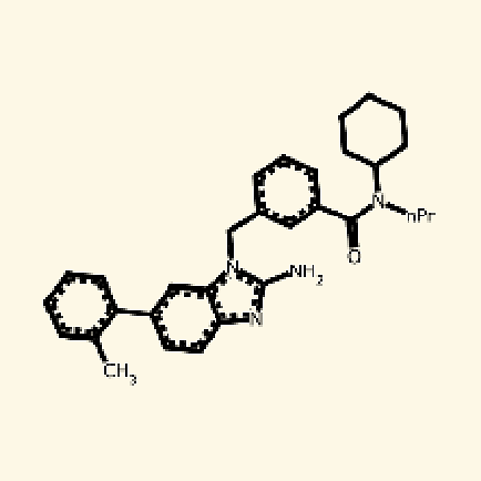 CCCN(C(=O)c1cccc(Cn2c(N)nc3ccc(-c4ccccc4C)cc32)c1)C1CCCCC1